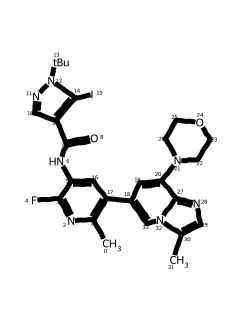 Cc1nc(F)c(NC(=O)c2cnn(C(C)(C)C)c2I)cc1-c1cc(N2CCOCC2)c2ncc(C)n2c1